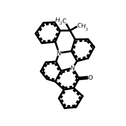 CC1(C)c2ccccc2N2c3c(cccc31)-n1c(=O)c3ccccc3c3cccc2c31